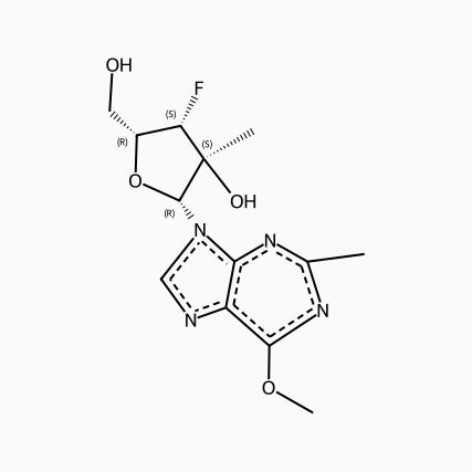 COc1nc(C)nc2c1ncn2[C@@H]1O[C@H](CO)[C@H](F)[C@@]1(C)O